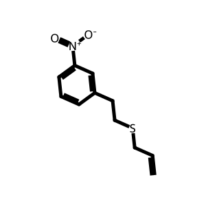 C=CCSCCc1cccc([N+](=O)[O-])c1